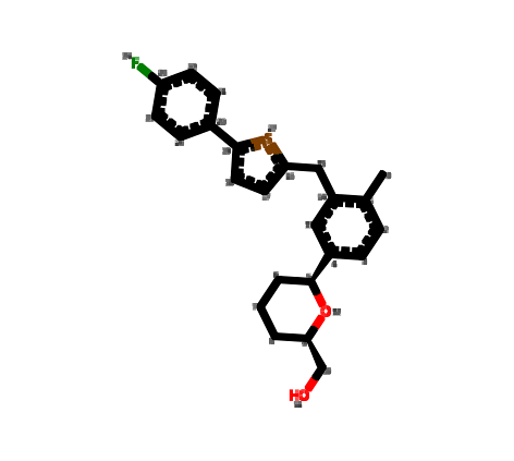 Cc1ccc([C@@H]2CCC[C@H](CO)O2)cc1Cc1ccc(-c2ccc(F)cc2)s1